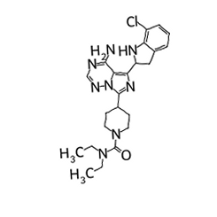 CCN(CC)C(=O)N1CCC(c2nc(C3Cc4cccc(Cl)c4N3)c3c(N)ncnn23)CC1